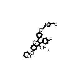 CC1=C(c2ccc(F)cc2)C(c2ccc(OCCN3CC(CF)C3)cc2)Oc2ccc(OC3CCCCO3)cc21